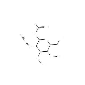 CCCCOC1[C@H](N=[N+]=[N-])C(OC(=N)C(Cl)(Cl)Cl)OC(COC(C)=O)[C@H]1OCCCC